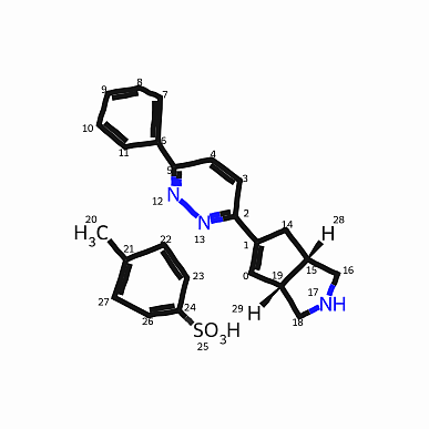 C1=C(c2ccc(-c3ccccc3)nn2)C[C@@H]2CNC[C@H]12.Cc1ccc(S(=O)(=O)O)cc1